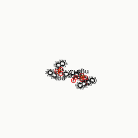 CC(=O)OCCOC(=O)CC(C)(c1ccc(OP(Oc2cccc3ccccc23)Oc2cccc3ccccc23)c(C(C)(C)C)c1)c1ccc(OP(Oc2cccc3ccccc23)Oc2cccc3ccccc23)c(C(C)(C)C)c1